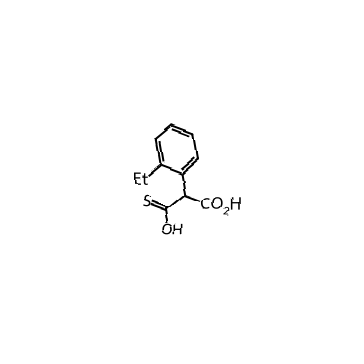 CCc1ccccc1C(C(=O)O)C(O)=S